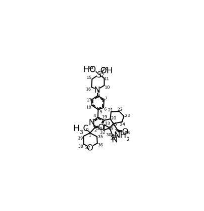 CC1(c2nc(-c3ccc(N4CCS(O)(O)CC4)cc3)c(C3CCCCC3(C(N)=O)C3(C#N)CC3)o2)CCOCC1